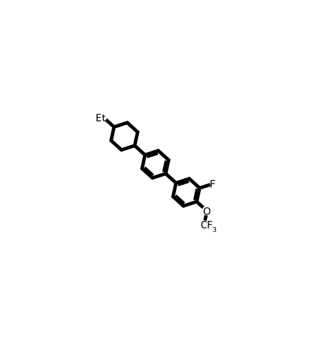 CCC1CCC(c2ccc(-c3ccc(OC(F)(F)F)c(F)c3)cc2)CC1